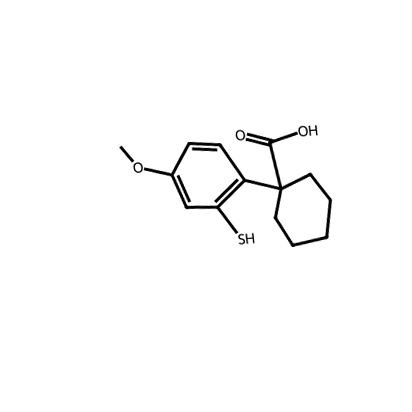 COc1ccc(C2(C(=O)O)CCCCC2)c(S)c1